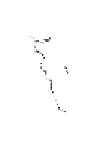 CCCCCCCCCOC(=S)S.[KH]